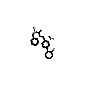 CC#N.CCN(Cc1ccccc1)C(C)CCc1ccc(C2CCCCC2F)cc1